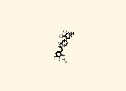 CC1C(F)=CC=C(Cc2cnc3n2CCN(c2cn[nH]c(=O)c2Cl)C3)C1F